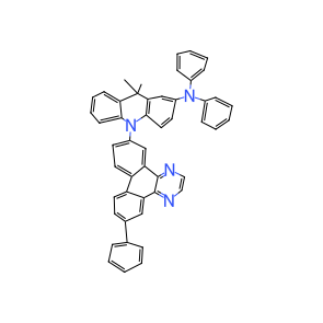 CC1(C)c2ccccc2N(c2ccc3c4ccc(-c5ccccc5)cc4c4nccnc4c3c2)c2ccc(N(c3ccccc3)c3ccccc3)cc21